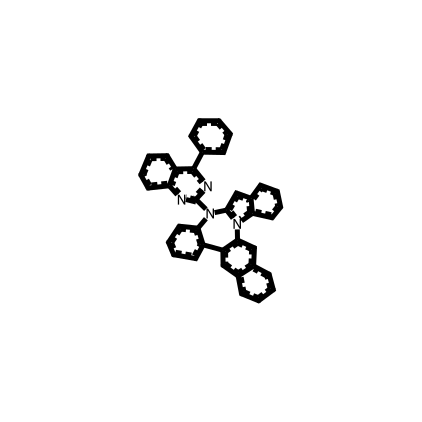 c1ccc(-c2nc(N3c4ccccc4-c4cc5ccccc5cc4-n4c3cc3ccccc34)nc3ccccc23)cc1